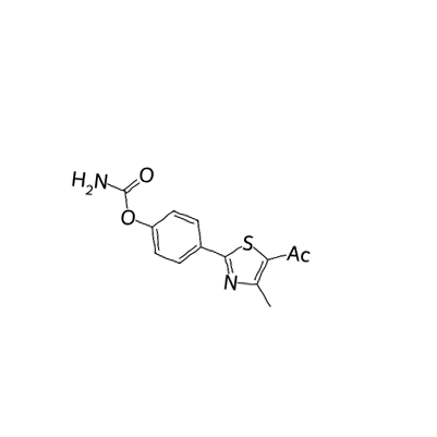 CC(=O)c1sc(-c2ccc(OC(N)=O)cc2)nc1C